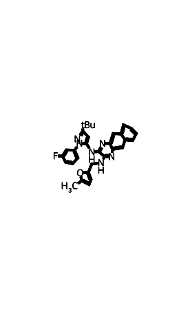 Cc1ccc(CNc2nc3cc4ccccc4cc3nc2Nc2cc(C(C)(C)C)nn2-c2cccc(F)c2)o1